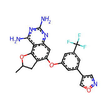 CC1Cc2c(Oc3cc(-c4cnoc4)cc(C(F)(F)F)c3)cc3nc(N)nc(N)c3c2O1